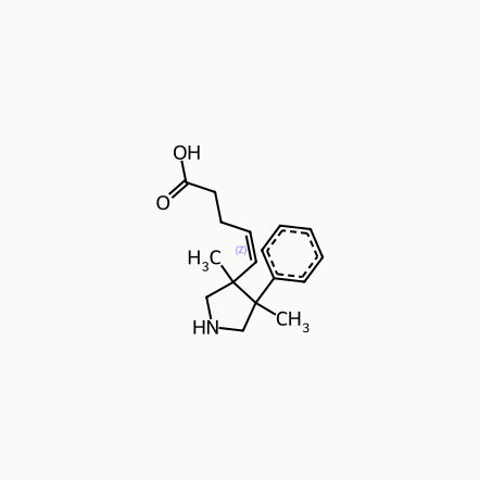 CC1(/C=C\CCC(=O)O)CNCC1(C)c1ccccc1